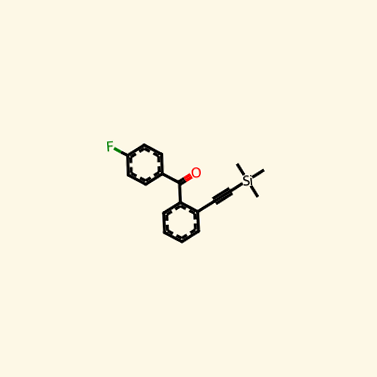 C[Si](C)(C)C#Cc1ccccc1C(=O)c1ccc(F)cc1